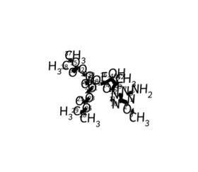 CCOc1nc(N)nc2c1ncn2[C@@H]1O[C@](F)(COP(=O)(OCOC(=O)OC(C)C)OCOC(=O)OC(C)C)[C@@H](O)[C@@]1(C)F